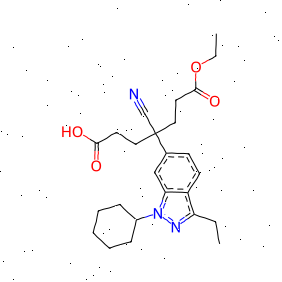 CCOC(=O)CCC(C#N)(CCC(=O)O)c1ccc2c(CC)nn(C3CCCCC3)c2c1